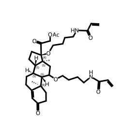 C=CC(=O)NCCCCOC1C[C@@]2(C)[C@@H](CC[C@]2(OCCCCNC(=O)C=C)C(=O)COC(C)=O)[C@@H]2CCC3=CC(=O)CC[C@]3(C)[C@@H]12